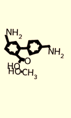 CO.NCc1ccc(-c2cc(CN)ccc2C(=O)O)cc1